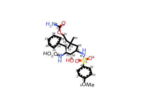 COc1ccc(S(=O)(=O)NC(CC(C)(C)CCOC(N)=O)[C@H](O)[C@H](Cc2ccccc2)NC(=O)O)cc1